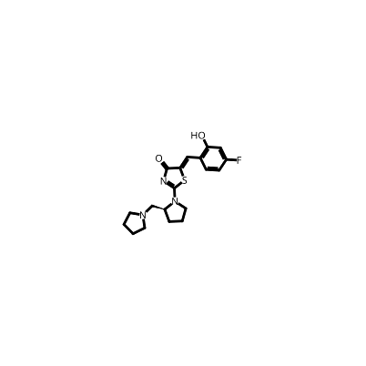 O=C1N=C(N2CCC[C@H]2CN2CCCC2)S/C1=C\c1ccc(F)cc1O